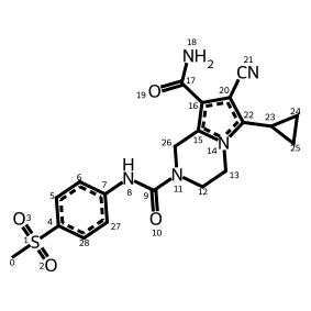 CS(=O)(=O)c1ccc(NC(=O)N2CCn3c(c(C(N)=O)c(C#N)c3C3CC3)C2)cc1